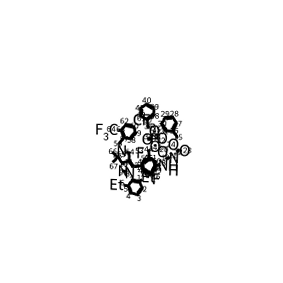 CCc1cccc(CC)c1-n1nc2c(c1-c1cc(F)c(NC(=O)NC(=O)OCc3ccccc3OP(=O)(OCc3ccccc3)OCc3ccccc3)cc1F)CN(Cc1ccc(C(F)(F)F)cc1C(F)(F)F)C2(C)C